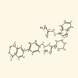 CN1CCOc2cc(-c3ccc(C[C@@H](N)CC(=O)N4CCC[C@@H](c5nc6ccccc6n5CCC(N)=O)C4)cc3)ccc21